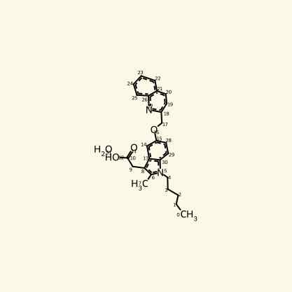 CCCCCn1c(C)c(CC(=O)O)c2cc(OCc3ccc4ccccc4n3)ccc21.O